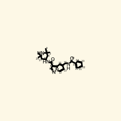 CC1(C)CC(NC(=O)c2cnn3ccc(CNC(=O)c4ccccc4)cc23)CC(C)(C)N1